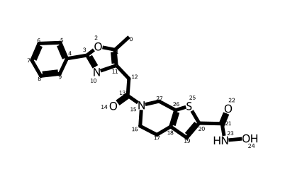 Cc1oc(-c2ccccc2)nc1CC(=O)N1CCc2cc(C(=O)NO)sc2C1